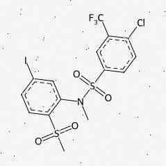 CN(c1cc(I)ccc1S(C)(=O)=O)S(=O)(=O)c1ccc(Cl)c(C(F)(F)F)c1